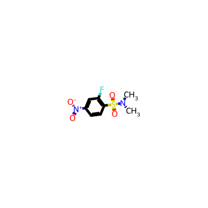 CN(C)S(=O)(=O)c1ccc([N+](=O)[O-])cc1F